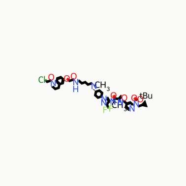 CN(CCCCCNC(=O)COc1ccc2c(c1)CCCN2C(=O)CCl)C[C@H]1CC[C@H](n2cc(N(C)C(=O)c3coc(-c4ccnc(N(CC5CC5)C(=O)OC(C)(C)C)c4)n3)c(C(F)F)n2)CC1